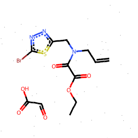 C=CCN(Cc1nnc(Br)s1)C(=O)C(=O)OCC.O=CC(=O)O